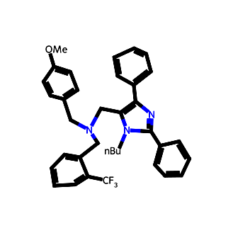 CCCCn1c(-c2ccccc2)nc(-c2ccccc2)c1CN(Cc1ccc(OC)cc1)Cc1ccccc1C(F)(F)F